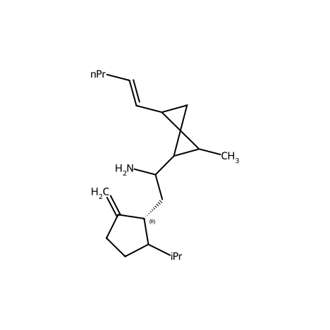 C=C1CCC(C(C)C)[C@H]1CC(N)C1C(C)C12CC2C=CCCC